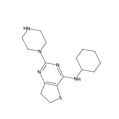 C1CCC(Nc2nc(N3CCNCC3)nc3c2SCC3)CC1